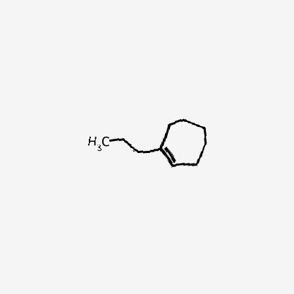 CC[CH]C1=CCCCCC1